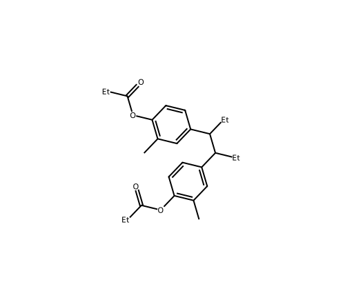 CCC(=O)Oc1ccc(C(CC)C(CC)c2ccc(OC(=O)CC)c(C)c2)cc1C